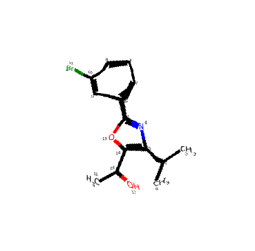 CC(C)c1nc(-c2cccc(Br)c2)oc1C(C)O